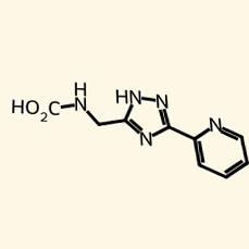 O=C(O)NCc1nc(-c2ccccn2)n[nH]1